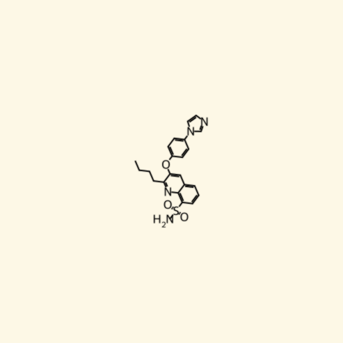 CCCCc1nc2c(S(N)(=O)=O)cccc2cc1Oc1ccc(-n2ccnc2)cc1